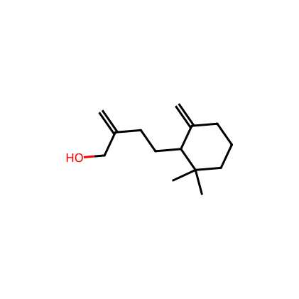 C=C(CO)CCC1C(=C)CCCC1(C)C